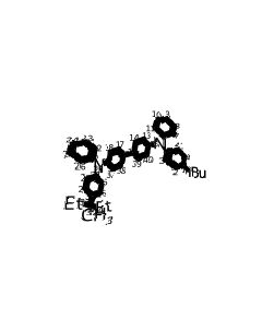 CCC(C)c1ccc(N(c2ccccc2)c2ccc(-c3ccc(N(c4ccccc4)c4ccc(C(C)(CC)CC)cc4)cc3)cc2)cc1